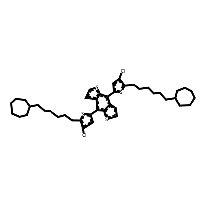 Clc1cc(-c2c3ccsc3c(-c3cc(Cl)c(CCCCCCC4CCCCCC4)s3)c3ccsc23)sc1CCCCCCC1CCCCCC1